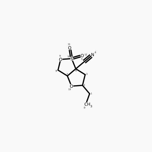 CCC1CC2(C#N)C(COS2(=O)=O)O1